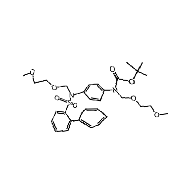 COCCOCN(C(=O)OC(C)(C)C)c1ccc(N(COCCOC)S(=O)(=O)c2ccccc2-c2ccccc2)cc1